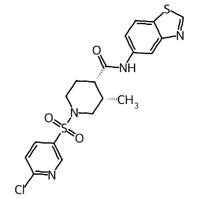 C[C@@H]1CN(S(=O)(=O)c2ccc(Cl)nc2)CC[C@@H]1C(=O)Nc1ccc2scnc2c1